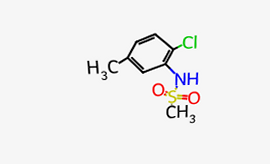 Cc1ccc(Cl)c(NS(C)(=O)=O)c1